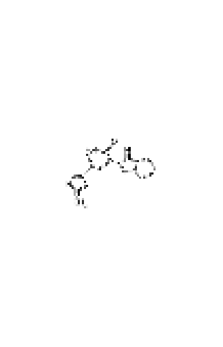 Cn1cc(-c2cc(-c3cc4ccccc4[nH]3)c(=O)[nH]n2)cn1